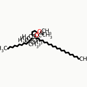 CCCCCCCCCCCCCCCCCCCCCC[Si]1(C(C)(C)C(C)(C)C(C)(C)CCCCCCCCCC)CCCC(O[Si](C)(C)C)O1